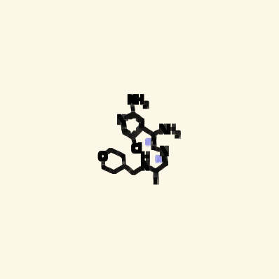 C=C(/C=N\C=C(/N)c1cc(N)ncc1Cl)NCC1CCOCC1